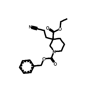 CCOC(=O)C1(CCC#N)CCCN(C(=O)OCc2ccccc2)C1